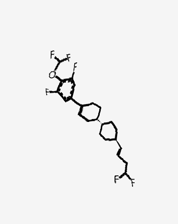 Fc1cc(C2CCC([C@H]3CC[C@H](/C=C/CC(F)F)CC3)CC2)cc(F)c1OC(F)F